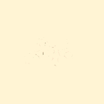 FC(F)(F)c1ccc2c(c1)C1(CCCCCCC1)c1c3c(c4ccccc4c1-2)OC(c1ccccc1)(c1ccc(N2CCOCC2)cc1)C=C3